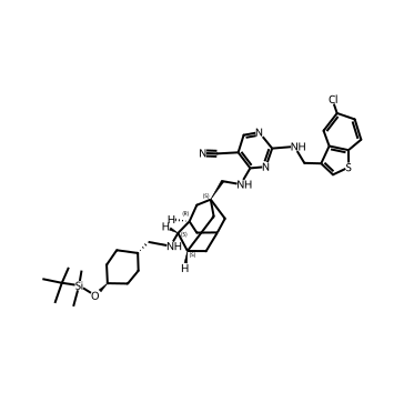 CC(C)(C)[Si](C)(C)O[C@H]1CC[C@H](CN[C@@H]2[C@@H]3CC4C[C@H]2C[C@@](CNc2nc(NCc5csc6ccc(Cl)cc56)ncc2C#N)(C4)C3)CC1